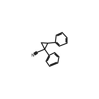 N#CC1(c2ccccc2)CC1c1ccccc1